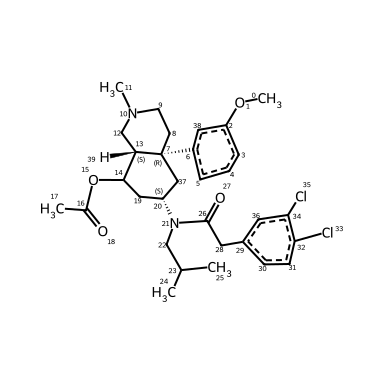 COc1cccc([C@@]23CCN(C)C[C@H]2C(OC(C)=O)C[C@@H](N(CC(C)C)C(=O)Cc2ccc(Cl)c(Cl)c2)C3)c1